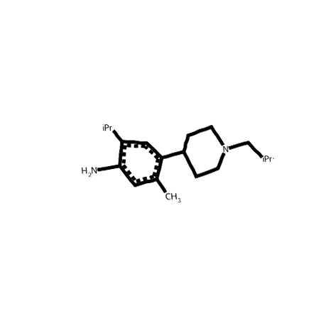 C[C](C)CN1CCC(c2cc(C(C)C)c(N)cc2C)CC1